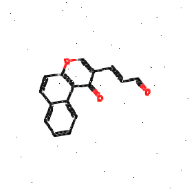 O=CC=Cc1coc2ccc3ccccc3c2c1=O